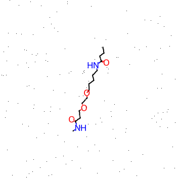 CCCC(=O)NCCCCCOCCOCCC(=O)NC